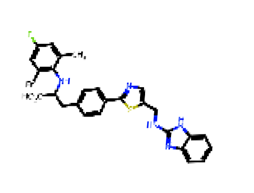 CCc1cc(F)cc(C)c1NC(Cc1ccc(-c2ncc(CNc3nc4ccccc4[nH]3)s2)cc1)C(=O)O